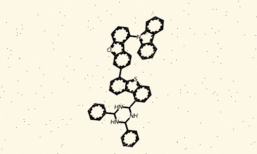 c1ccc(C2NC(c3ccccc3)NC(c3cccc4sc5c(-c6ccc7c(c6)oc6cccc(-n8c9ccccc9c9ccccc98)c67)cccc5c34)N2)cc1